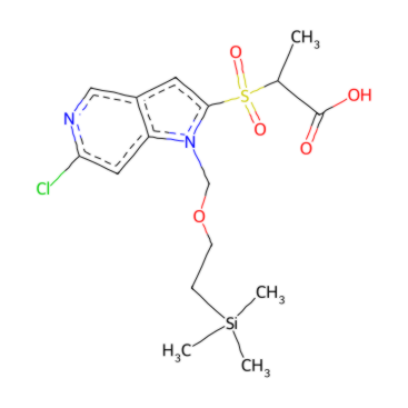 CC(C(=O)O)S(=O)(=O)c1cc2cnc(Cl)cc2n1COCC[Si](C)(C)C